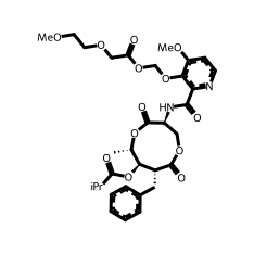 COCCOCC(=O)OCOc1c(OC)ccnc1C(=O)N[C@H]1COC(=O)[C@H](Cc2ccccc2)[C@@H](OC(=O)C(C)C)[C@H](C)OC1=O